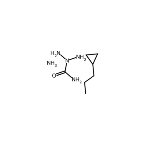 CCCC1CC1.N.NC(=O)N(N)N